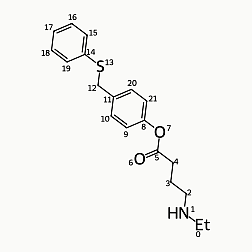 CCNCCCC(=O)Oc1ccc(CSc2ccccc2)cc1